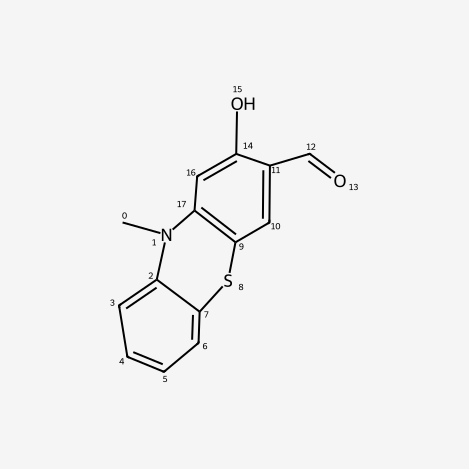 CN1c2ccccc2Sc2cc(C=O)c(O)cc21